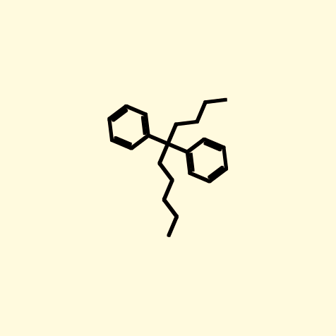 CCCCCC(CCCC)(c1ccccc1)c1ccccc1